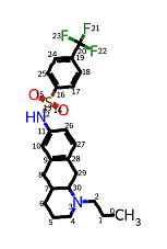 CCCN1CCCC2Cc3cc(NS(=O)(=O)c4ccc(C(F)(F)F)cc4)ccc3CC21